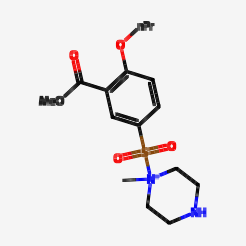 CCCOc1ccc(S(=O)(=O)[N+]2(C)CCNCC2)cc1C(=O)OC